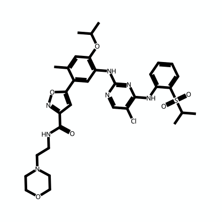 Cc1cc(OC(C)C)c(Nc2ncc(Cl)c(Nc3ccccc3S(=O)(=O)C(C)C)n2)cc1-c1cc(C(=O)NCCN2CCOCC2)no1